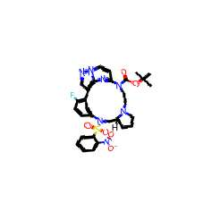 CC(C)(C)OC(=O)N1CCN2CCC[C@@H]2CN(S(=O)(=O)c2ccccc2[N+](=O)[O-])c2ccc(F)c(c2)-c2cnn3ccc1nc23